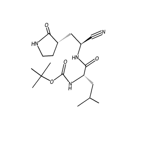 CC(C)C[C@H](NC(=O)OC(C)(C)C)C(=O)N[C@H](C#N)C[C@@H]1CCNC1=O